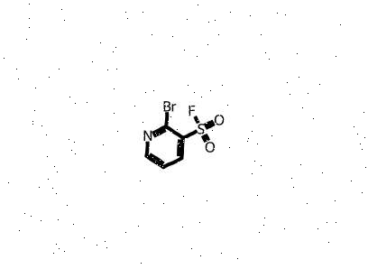 O=S(=O)(F)c1cccnc1Br